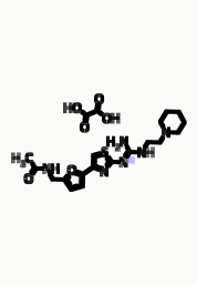 CC(=O)NCc1ccc(-c2csc(/N=C(\N)NCCN3CCCCC3)n2)o1.O=C(O)C(=O)O